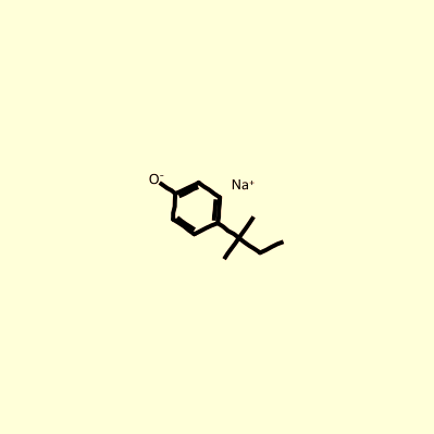 CCC(C)(C)c1ccc([O-])cc1.[Na+]